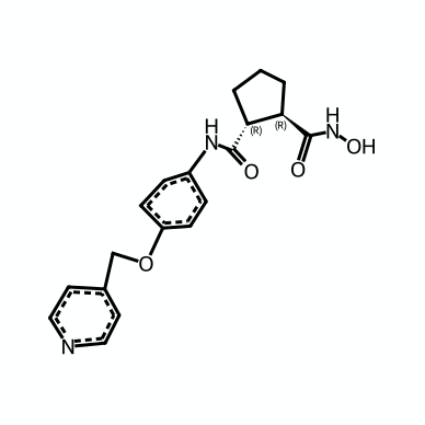 O=C(NO)[C@@H]1CCC[C@H]1C(=O)Nc1ccc(OCc2ccncc2)cc1